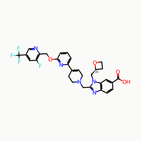 O=C(O)c1ccc2nc(CN3CC=C(c4cccc(OCc5ncc(C(F)(F)F)cc5F)n4)CC3)n(C[C@@H]3CCO3)c2c1